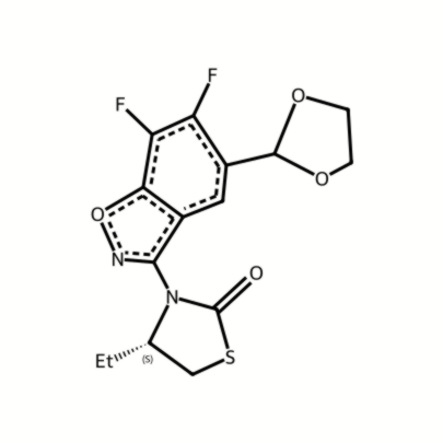 CC[C@H]1CSC(=O)N1c1noc2c(F)c(F)c(C3OCCO3)cc12